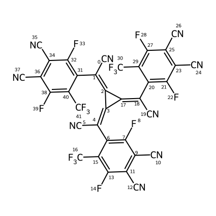 N#CC(=C1C(=C(C#N)c2c(F)c(C#N)c(C#N)c(F)c2C(F)(F)F)C1=C(C#N)c1c(F)c(C#N)c(C#N)c(F)c1C(F)(F)F)c1c(F)c(C#N)c(C#N)c(F)c1C(F)(F)F